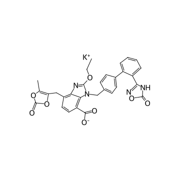 CCOc1nc2c(Cc3oc(=O)oc3C)ccc(C(=O)[O-])c2n1Cc1ccc(-c2ccccc2-c2noc(=O)[nH]2)cc1.[K+]